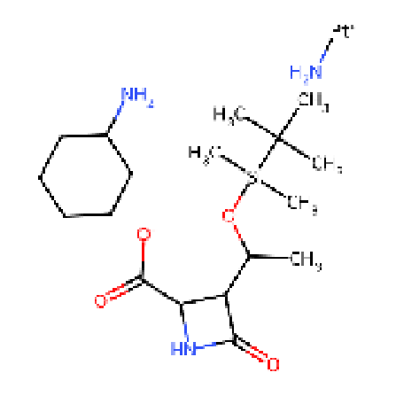 CC(O[Si](C)(C)C(C)(C)C)C1C(=O)NC1C(=O)[O-].NC1CCCCC1.[NH2][Pt+]